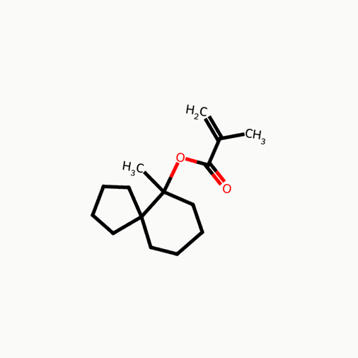 C=C(C)C(=O)OC1(C)CCCCC12CCCC2